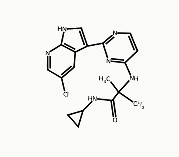 CC(C)(Nc1ccnc(-c2c[nH]c3ncc(Cl)cc23)n1)C(=O)NC1CC1